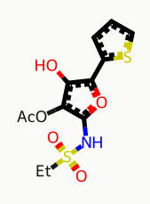 CCS(=O)(=O)Nc1oc(-c2cccs2)c(O)c1OC(C)=O